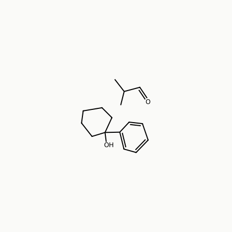 CC(C)C=O.OC1(c2ccccc2)CCCCC1